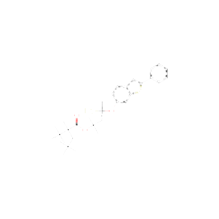 CC(C)(C)CC(C)(C(=O)OC(C)(C)CC(C)(S)Oc1ccc2cc(-c3ccccc3)sc2c1)C(C)(C)C